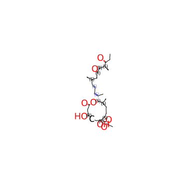 CCC(=O)[C@@H](C)[C@H]1O[C@@H]1C[C@H](C)/C=C/C=C(\C)[C@H]1OC(=O)C[C@H](O)CC[C@@](C)(O)[C@@H](OC(C)=O)CC[C@@H]1C